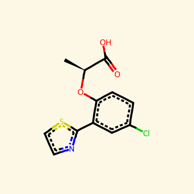 C[C@H](Oc1ccc(Cl)cc1-c1nccs1)C(=O)O